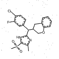 Cc1nc(C(c2ccc(Cl)c(F)c2)C2COc3ccccc3C2)[nH]c1S(C)(=O)=O